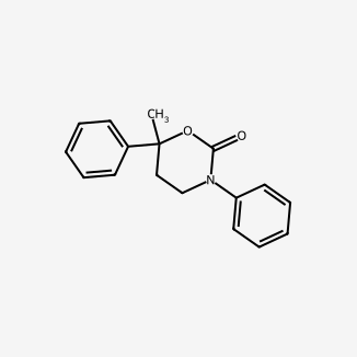 CC1(c2ccccc2)CCN(c2ccccc2)C(=O)O1